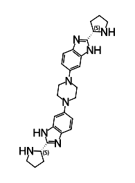 c1cc2nc([C@@H]3CCCN3)[nH]c2cc1N1CCN(c2ccc3nc([C@@H]4CCCN4)[nH]c3c2)CC1